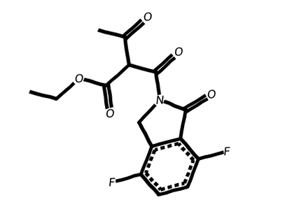 CCOC(=O)C(C(C)=O)C(=O)N1Cc2c(F)ccc(F)c2C1=O